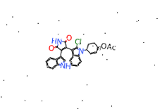 CC(=O)O[C@@H]1C=CC(n2c(Cl)c(C3=C(c4c[nH]c5ccccc45)C(=O)NC3=O)c3ccccc32)CC1